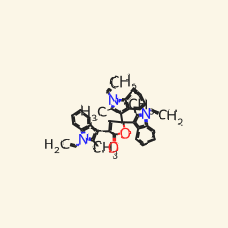 C=Cn1c(C)c(C2=CC(c3c(C)n(C=C)c4ccccc34)(c3c(C)n(C=C)c4ccccc34)OC2=O)c2ccccc21